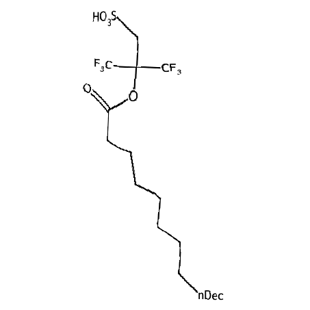 CCCCCCCCCCCCCCCCCC(=O)OC(CS(=O)(=O)O)(C(F)(F)F)C(F)(F)F